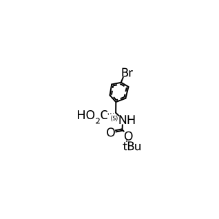 CC(C)(C)OC(=O)N[C@H](C(=O)O)c1ccc(Br)cc1